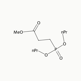 CCCOP(=O)(CCC(=O)OC)OCCC